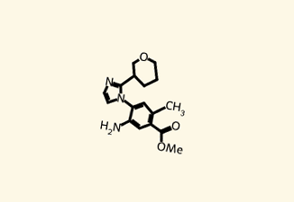 COC(=O)c1cc(N)c(-n2ccnc2C2CCCOC2)cc1C